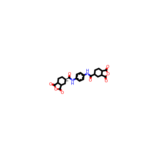 O=C(Nc1ccc(NC(=O)[C@@H]2CCC3C(=O)OC(=O)C3C2)cc1)C1CCC2C(=O)OC(=O)C2C1